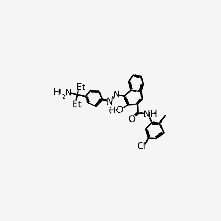 CCC(N)(CC)c1ccc(N=Nc2c(O)c(C(=O)Nc3cc(Cl)ccc3C)cc3ccccc23)cc1